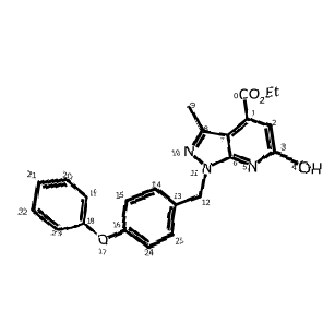 CCOC(=O)c1cc(O)nc2c1c(C)nn2Cc1ccc(Oc2ccccc2)cc1